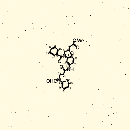 COC(=O)CC1CN(C(=O)c2ccccc2)c2cc(NC(=O)CCN(C=O)c3ccccn3)ccc2O1